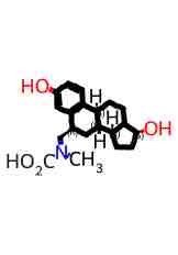 CN(C[C@@H]1C[C@@H]2[C@H](CCC3[C@H]2CC[C@@H]3O)c2ccc(O)cc21)C(=O)O